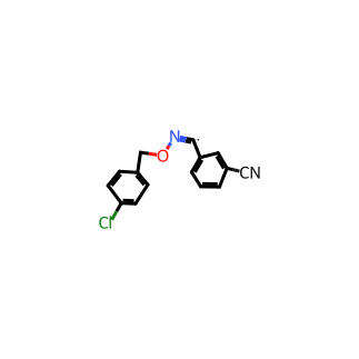 N#Cc1cccc(/[C]=N\OCc2ccc(Cl)cc2)c1